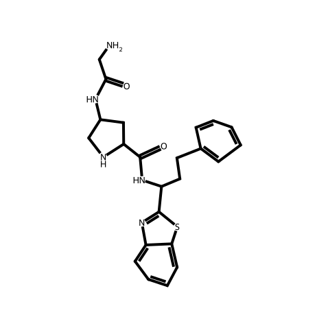 NCC(=O)NC1CNC(C(=O)NC(CCc2ccccc2)c2nc3ccccc3s2)C1